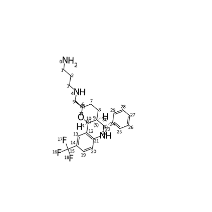 NCCCNC[C@H]1CC[C@@H]2[C@H](O1)c1cc(C(F)(F)F)ccc1N[C@H]2c1ccccc1